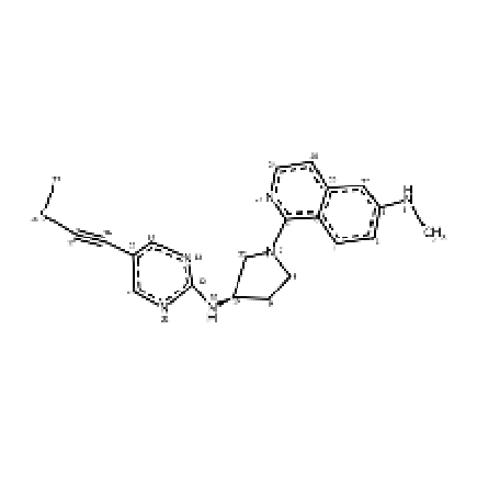 CNc1ccc2c(N3CC[C@@H](Nc4ncc(C#CSI)cn4)C3)nccc2c1